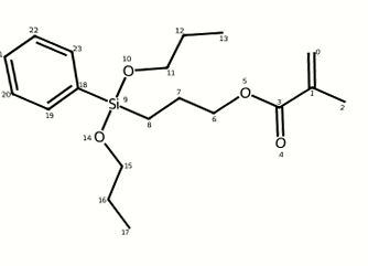 C=C(C)C(=O)OCCC[Si](OCCC)(OCCC)c1ccccc1